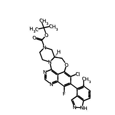 Cc1ccc2[nH]ncc2c1-c1c(Cl)c2c3c(ncnc3c1F)N1CCN(C(=O)OC(C)(C)C)C[C@H]1CO2